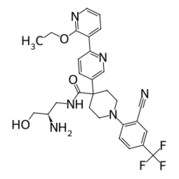 CCOc1ncccc1-c1ccc(C2(C(=O)NC[C@@H](N)CO)CCN(c3ccc(C(F)(F)F)cc3C#N)CC2)cn1